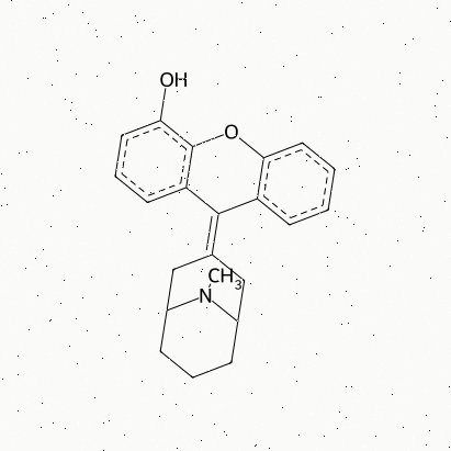 CN1C2CCCC1CC(=C1c3ccccc3Oc3c(O)cccc31)C2